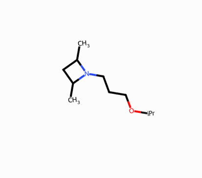 CC(C)OCCCN1C(C)CC1C